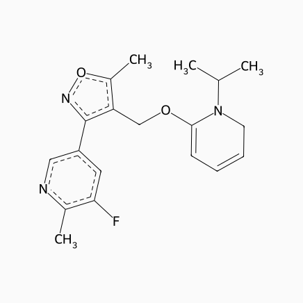 Cc1ncc(-c2noc(C)c2COC2=CC=CCN2C(C)C)cc1F